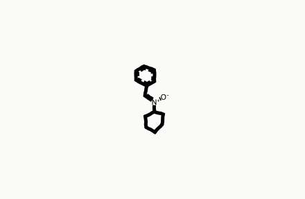 [O-]/[N+](=C\c1ccccc1)C1CCCCC1